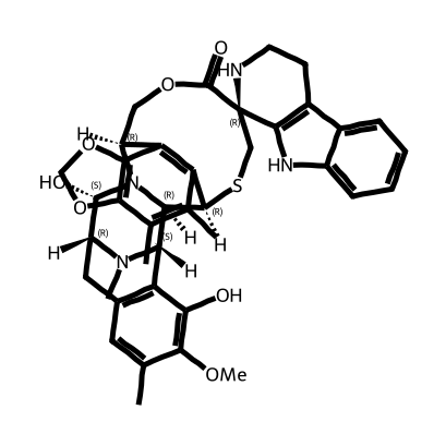 COc1c(C)cc2c(c1O)[C@H]1[C@@H]3[C@@H]4SC[C@]5(NCCc6c5[nH]c5ccccc65)C(=O)OC[C@@H](c5c6c(c(C)c(C)c54)OCO6)N3[C@@H](O)[C@@H](C2)N1C